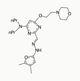 CCCN(CCC)c1cc(OCCN2CCOCC2)nc(/C=N/Nc2cc(C)c(C)o2)n1